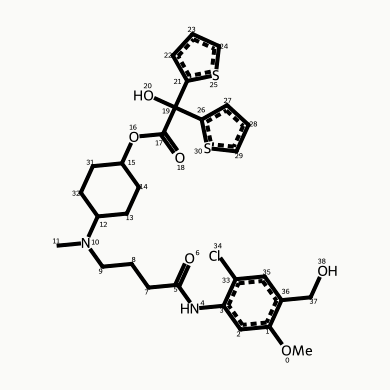 COc1cc(NC(=O)CCCN(C)C2CCC(OC(=O)C(O)(c3cccs3)c3cccs3)CC2)c(Cl)cc1CO